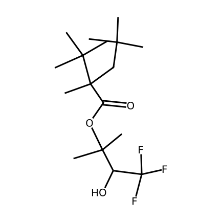 CC(C)(C)CC(C)(C(=O)OC(C)(C)C(O)C(F)(F)F)C(C)(C)C